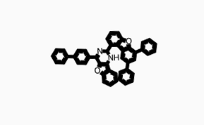 c1ccc(-c2ccc(C3=NC(c4cccc5oc6c(-c7ccccc7)cc(-c7ccccc7)cc6c45)Nc4c3oc3ccccc43)cc2)cc1